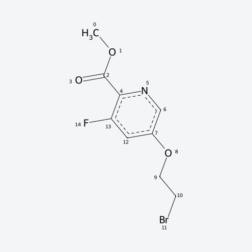 COC(=O)c1ncc(OCCBr)cc1F